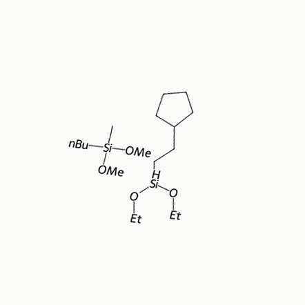 CCCC[Si](C)(OC)OC.CCO[SiH](CCC1CCCC1)OCC